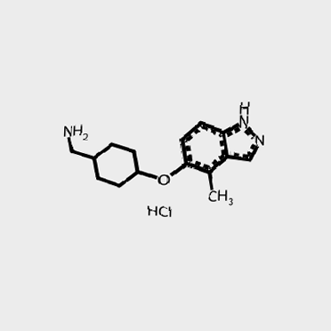 Cc1c(OC2CCC(CN)CC2)ccc2[nH]ncc12.Cl